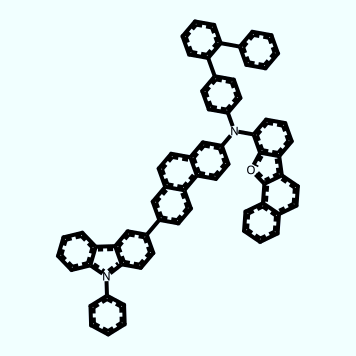 c1ccc(-c2ccccc2-c2ccc(N(c3ccc4c(ccc5cc(-c6ccc7c(c6)c6ccccc6n7-c6ccccc6)ccc54)c3)c3cccc4c3oc3c5ccccc5ccc43)cc2)cc1